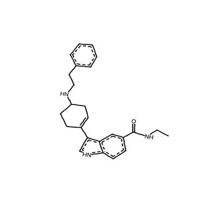 CCNC(=O)c1ccc2[nH]cc(C3=CCC(NCCc4ccccc4)CC3)c2c1